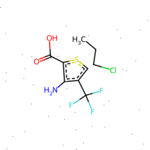 CCCCl.Nc1c(C(F)(F)F)csc1C(=O)O